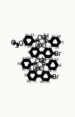 O=S=O.O=[PH](Oc1ccccc1-c1ccc(Br)cc1O[PH](=O)c1ccccc1)c1ccccc1.O=[PH](Oc1ccccc1-c1ccc(Br)cc1O[PH](=O)c1ccccc1)c1ccccc1